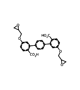 O=C(O)c1ccc(OCC2CO2)cc1-c1ccc(-c2cc(OCC3CO3)ccc2C(=O)O)cc1